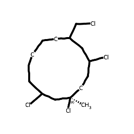 C[C@@]1(Cl)CCC(Cl)CC(CCl)CCCCCC(Cl)C1